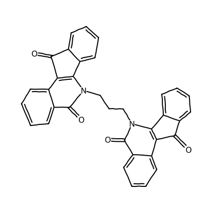 O=C1c2ccccc2-c2c1c1ccccc1c(=O)n2CCCn1c2c(c3ccccc3c1=O)C(=O)c1ccccc1-2